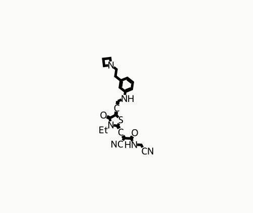 CCn1c(=C=C(C#N)C(=O)NCC#N)sc(=C=CNc2cccc(CCN3CCC3)c2)c1=O